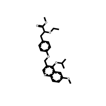 CCOC(Cc1ccc(OCc2cnc3ccc(OC)cc3c2OC(C)C)cc1)C(=O)OC